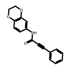 O=C(C#Cc1ccccc1)Nc1ccc2c(c1)OCCO2